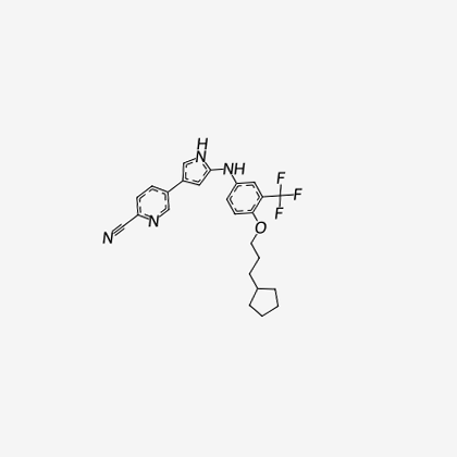 N#Cc1ccc(-c2c[nH]c(Nc3ccc(OCCCC4CCCC4)c(C(F)(F)F)c3)c2)cn1